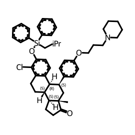 CC(C)C[Si](Oc1ccc2c(c1Cl)CC[C@@H]1[C@@H]2[C@@H](c2ccc(OCCCN3CCCCC3)cc2)C[C@]2(C)C(=O)CC[C@@H]12)(c1ccccc1)c1ccccc1